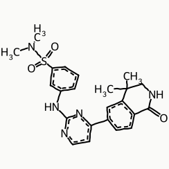 CN(C)S(=O)(=O)c1cccc(Nc2nccc(-c3ccc4c(c3)C(C)(C)CNC4=O)n2)c1